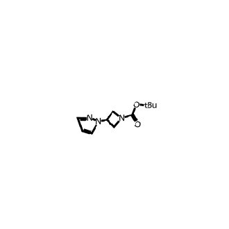 CC(C)(C)OC(=O)N1CC(n2cccn2)C1